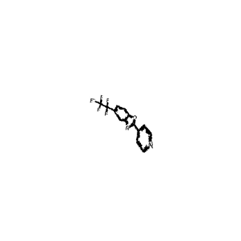 FC(F)(F)C(F)(F)c1ccc2oc(-c3ccncc3)nc2c1